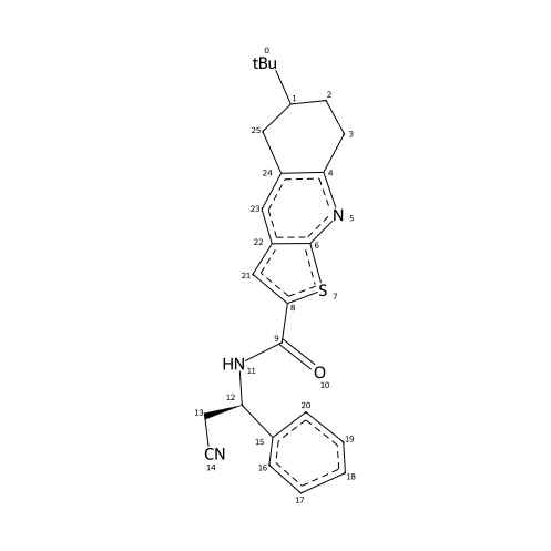 CC(C)(C)C1CCc2nc3sc(C(=O)N[C@H](CC#N)c4ccccc4)cc3cc2C1